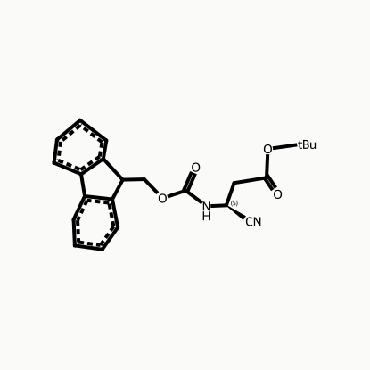 CC(C)(C)OC(=O)C[C@@H](C#N)NC(=O)OCC1c2ccccc2-c2ccccc21